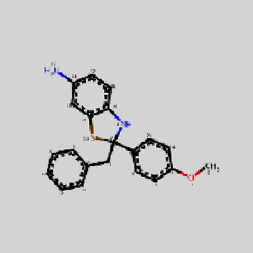 COc1ccc(C2(Cc3ccccc3)Nc3ccc(N)cc3S2)cc1